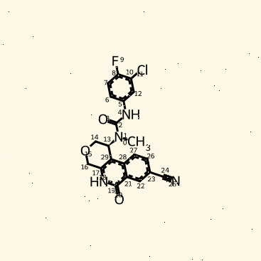 CN(C(=O)Nc1ccc(F)c(Cl)c1)[C@@H]1COCc2[nH]c(=O)c3cc(C#N)ccc3c21